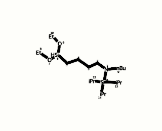 CCCCN(CCCC[SiH](OCC)OCC)[Si](C(C)C)(C(C)C)C(C)C